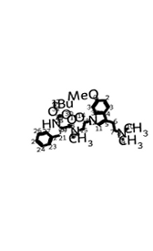 COc1ccc2c(CCN(C)C)cn(C(=O)CN(C)C(=O)[C@H](Cc3ccccc3)NC(=O)OC(C)(C)C)c2c1